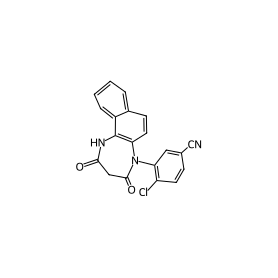 N#Cc1ccc(Cl)c(N2C(=O)CC(=O)Nc3c2ccc2ccccc32)c1